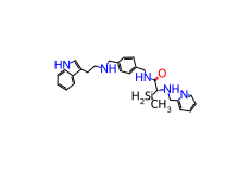 C[SiH2][C@H](NCc1ccccn1)C(=O)NCc1ccc(CNCCc2c[nH]c3ccccc23)cc1